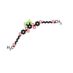 C=COCCCCCCCOc1ccc(C(=O)Oc2ccc(OC(=O)c3ccc(OCCCCCCCOC=C)cc3)c(C(F)(F)F)c2C(F)(F)F)cc1